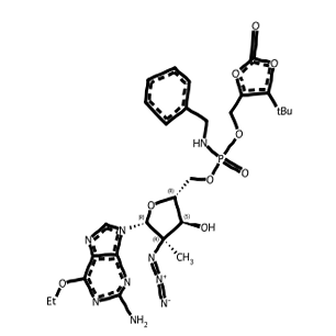 CCOc1nc(N)nc2c1ncn2[C@@H]1O[C@H](COP(=O)(NCc2ccccc2)OCc2oc(=O)oc2C(C)(C)C)[C@@H](O)[C@@]1(C)N=[N+]=[N-]